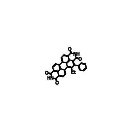 CCc1c(-c2ccccc2)c2c3c(ccc4c5ccc6c7c(ccc(c1c34)c75)C(=O)NC6=O)C(=O)NC2=O